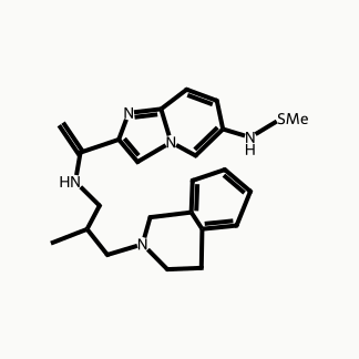 C=C(NCC(C)CN1CCc2ccccc2C1)c1cn2cc(NSC)ccc2n1